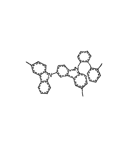 Cc1ccc2c(c1)c1ccccc1n2-c1ccc2c(c1)c1cc(C)ccc1n2-c1ccccc1-c1ccccc1C